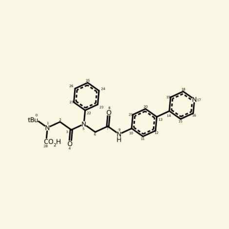 CC(C)(C)N(CC(=O)N(CC(=O)Nc1ccc(-c2ccncc2)cc1)c1ccccc1)C(=O)O